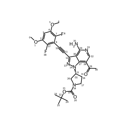 COc1cc(OC)c(F)c(C#Cc2nn([C@H]3CCN(C(=O)OC(C)(C)C)C3)c3c(C(C)=O)cnc(N)c23)c1F